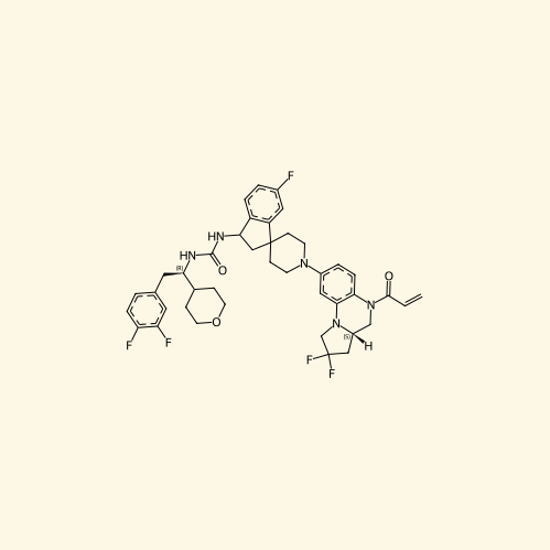 C=CC(=O)N1C[C@@H]2CC(F)(F)CN2c2cc(N3CCC4(CC3)CC(NC(=O)N[C@H](Cc3ccc(F)c(F)c3)C3CCOCC3)c3ccc(F)cc34)ccc21